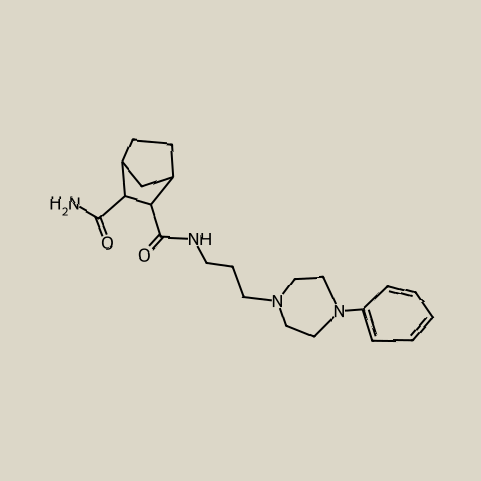 NC(=O)C1C2CCC(C2)C1C(=O)NCCCN1CCN(c2ccccc2)CC1